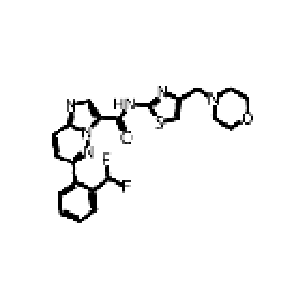 O=C(Nc1nc(CN2CCOCC2)cs1)c1cnc2ccc(-c3ccccc3C(F)F)nn12